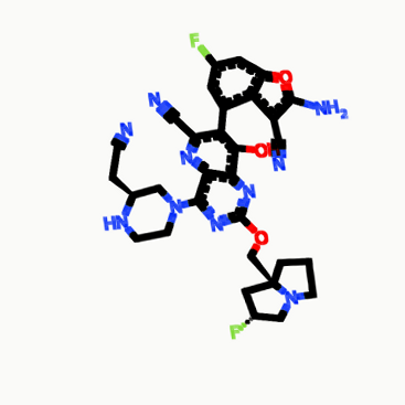 N#CC[C@H]1CN(c2nc(OC[C@@]34CCCN3C[C@H](F)C4)nc3c(O)c(-c4cc(F)cc5oc(N)c(C#N)c45)c(C#N)nc23)CCN1